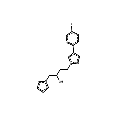 OC(CCn1cc(-c2ccc(F)cn2)cn1)Cn1cncn1